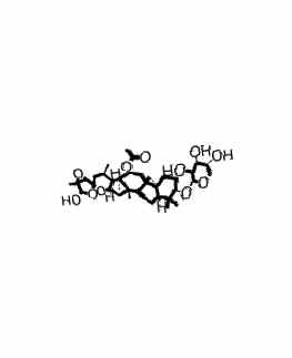 CC(=O)O[C@@H]1CC23C[C@@]24CC[C@H](O[C@@H]2OC[C@@H](O)[C@@H](O)C2O)C(C)(C)[C@@H]4CC=C3[C@]2(C)C[C@@H]3OC4(C[C@@H](C)[C@@H]3[C@@]12C)OC(O)C1(C)OC41